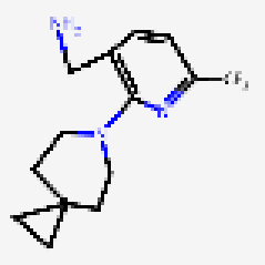 NCc1ccc(C(F)(F)F)nc1N1CCC2(CC1)CC2